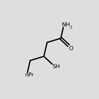 CCCCC(S)CC(N)=O